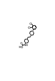 O=C(O)NC1CCC(CCN2CCN(c3cccc(Cl)c3Cl)CC2)CC1